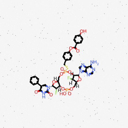 Nc1ncnc2c1ncn2[C@@H]1O[C@@H]2COP(=O)(O)O[C@H]3[C@@H](F)[C@H](n4cc(-c5ccccc5)c(=O)[nH]c4=O)O[C@@H]3CO[P@@](=O)(SCc3ccc(OC(=O)c4ccc(O)cc4)cc3)O[C@@H]1[C@@H]2F